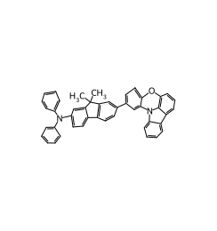 CC1(C)c2cc(-c3ccc4c(c3)-n3c5ccccc5c5cccc(c53)O4)ccc2-c2ccc(N(c3ccccc3)c3ccccc3)cc21